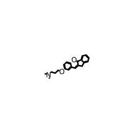 CN(C)CCCOc1cccc(C=C2Cc3ccccc3C2=O)c1